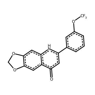 O=c1cc(-c2cccc(OC(F)(F)F)c2)[nH]c2cc3c(cc12)OCO3